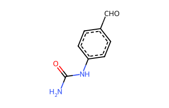 NC(=O)Nc1ccc(C=O)cc1